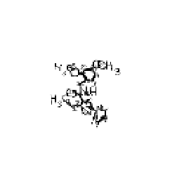 CCC1N=C(c2ncccn2)SC1C(=O)NCc1ccc(OC)cc1OC